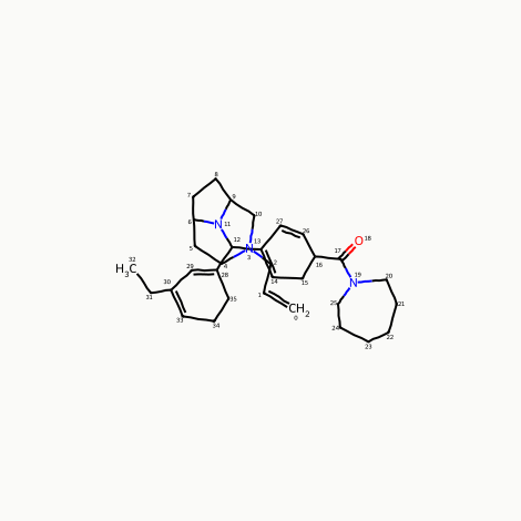 C=CCN1CCC2CCC(C1)N2C(C1=CCC(C(=O)N2CCCCCC2)C=C1)C1=CC(CC)=CCC1